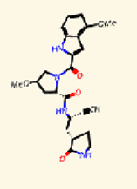 C#C[C@H](C[C@@H]1CCNC1=O)NC(=O)[C@@H]1C[C@@H](OC)CN1C(=O)c1cc2c(OC)cccc2[nH]1